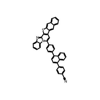 N#Cc1ccc(-c2ccc(-c3ccc(-c4cc5c6cc7ccccc7cc6sc5c5nc6ccccc6n45)cc3)c3ccccc23)cc1